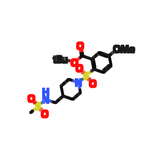 COc1ccc(S(=O)(=O)N2CCC(CNS(C)(=O)=O)CC2)c(C(=O)OC(C)(C)C)c1